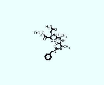 CCOC(=O)C1OC1C(=O)N(CC(N)=O)NC(=O)[C@H](C)NC(=O)[C@H](C)NC(=O)OCc1ccccc1